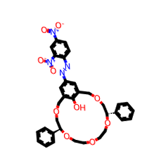 O=[N+]([O-])c1ccc(N=Nc2cc3c(O)c(c2)COC[C@H](c2ccccc2)OCCOCCO[C@@H](c2ccccc2)COC3)c([N+](=O)[O-])c1